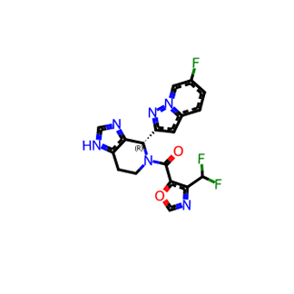 O=C(c1ocnc1C(F)F)N1CCc2[nH]cnc2[C@@H]1c1cc2ccc(F)cn2n1